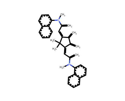 C=C1C(=C)/C(=C\C(=C)N(C)c2cccc3ccccc23)C(C)(C)/C1=C/C(=C)N(C)c1cccc2ccccc12